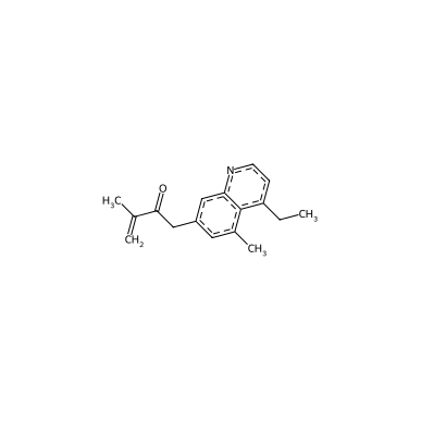 C=C(C)C(=O)Cc1cc(C)c2c(CC)ccnc2c1